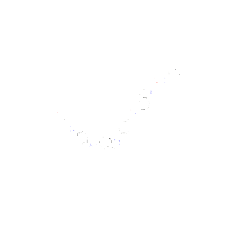 N#CCNC(=O)Cn1ccc2cc(NC(=O)c3ccc(-n4ccc5cc(Nc6ccc(N7CCC(O)CC7)cc6)ccc54)cc3)ccc21